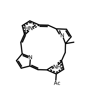 CC(=O)c1cc2[nH]c1C=C1C=CC(=N1)C=c1ccc([nH]1)=CC1=NC(C)(C=C1)C2